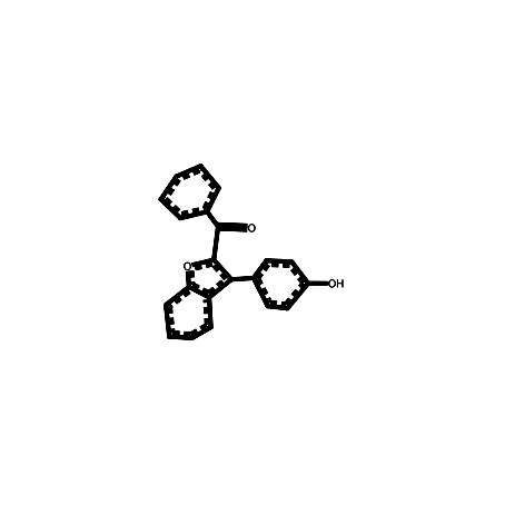 O=C(c1ccccc1)c1oc2ccccc2c1-c1ccc(O)cc1